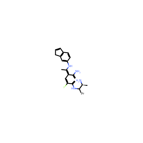 C=C(N)C(/C=C(/F)C(=C)NC(C(C)C)[C@H](C)N)=C(/C)Nc1ccc2c(c1)CC=C2